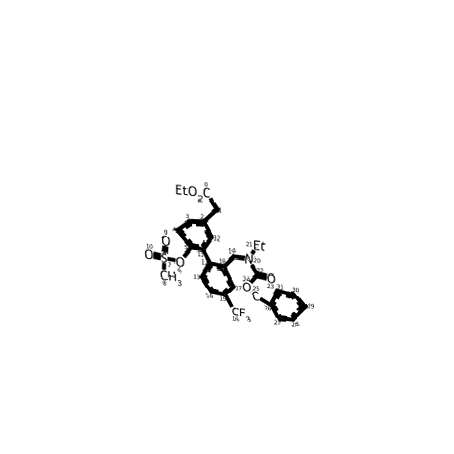 CCOC(=O)Cc1ccc(OS(C)(=O)=O)c(-c2ccc(C(F)(F)F)cc2CN(CC)C(=O)OCc2ccccc2)c1